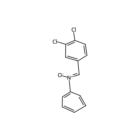 [O-][N+](=Cc1ccc(Cl)c(Cl)c1)c1ccccc1